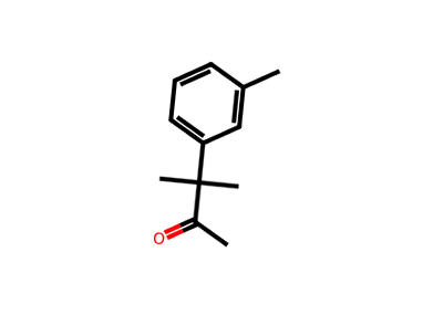 CC(=O)C(C)(C)c1cccc(C)c1